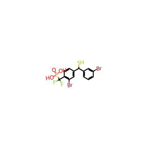 O=P(O)(O)C(F)(F)c1ccc(C(S)c2cccc(Br)c2)cc1Br